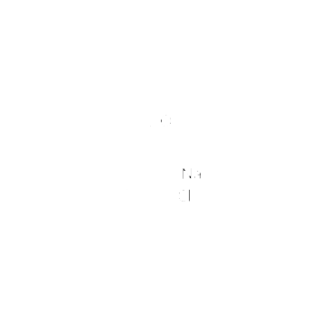 Cc1cccc(Cl)c1.[Na+].[O-]c1ccccc1